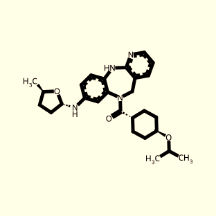 CC(C)O[C@H]1CC[C@H](C(=O)N2Cc3cccnc3Nc3ccc(N[C@@H]4CC[C@@H](C)O4)cc32)CC1